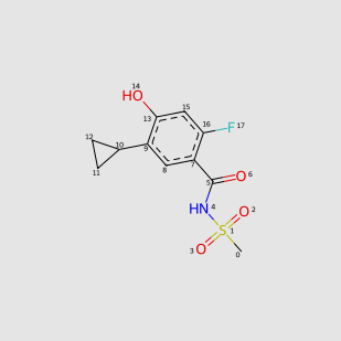 CS(=O)(=O)NC(=O)c1cc(C2CC2)c(O)cc1F